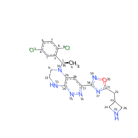 C[C@H](c1cc(Cl)ccc1Cl)N1CCNc2nnc(-c3noc(CC4CNC4)n3)cc21